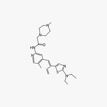 C=C/C(=C\c1cc(NC(=O)CN2CCN(C)CC2)ncc1C)c1cnc(N(CC)CC)s1